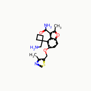 Cc1ncsc1COc1ccc2oc(C)c(C(N)=O)c2c1C1(CN)CCC1